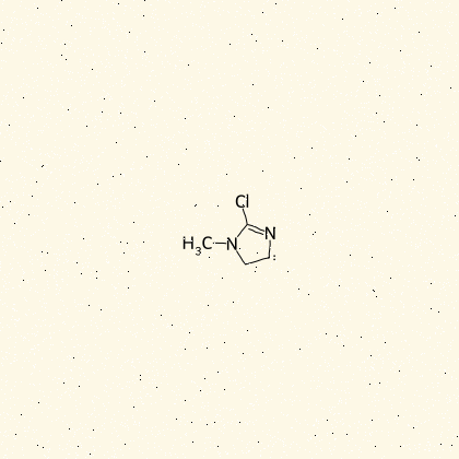 CN1C[C]N=C1Cl